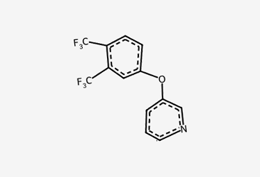 FC(F)(F)c1ccc(Oc2cc[c]nc2)cc1C(F)(F)F